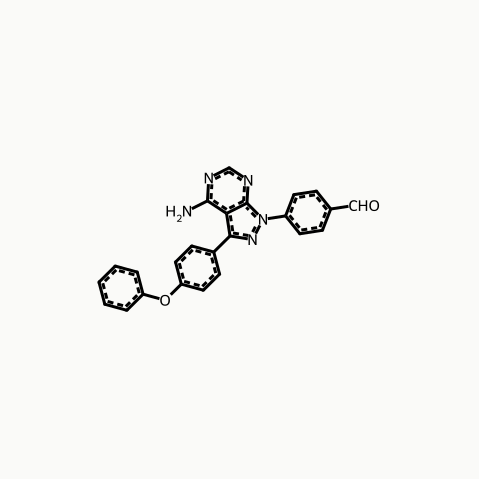 Nc1ncnc2c1c(-c1ccc(Oc3ccccc3)cc1)nn2-c1ccc(C=O)cc1